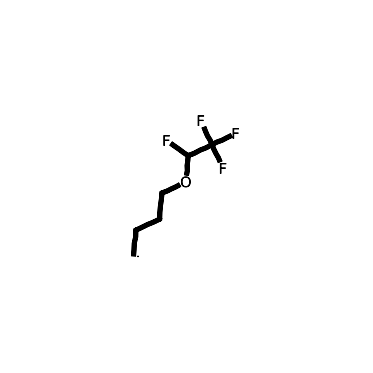 [CH2]CCCOC(F)C(F)(F)F